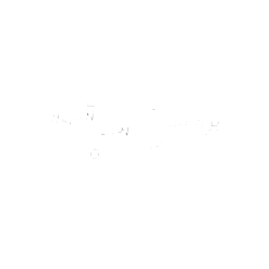 CC(C)(C)NC(=O)N1CCC(C(=O)O)CC1